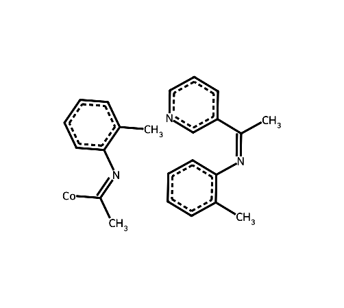 CC(=Nc1ccccc1C)c1cccnc1.C[C]([Co])=Nc1ccccc1C